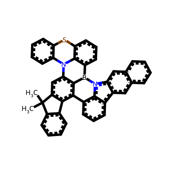 CC1(C)c2ccccc2-c2c1cc1c3c2-c2cccc4c5cc6ccccc6cc5n(c24)B3c2cccc3c2N1c1ccccc1S3